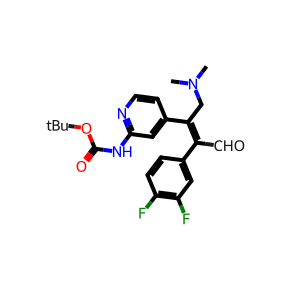 CN(C)CC(=C(C=O)c1ccc(F)c(F)c1)c1ccnc(NC(=O)OC(C)(C)C)c1